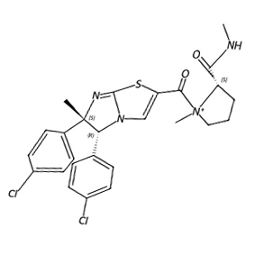 CNC(=O)[C@@H]1CCC[N+]1(C)C(=O)C1=CN2C(=N[C@@](C)(c3ccc(Cl)cc3)[C@H]2c2ccc(Cl)cc2)S1